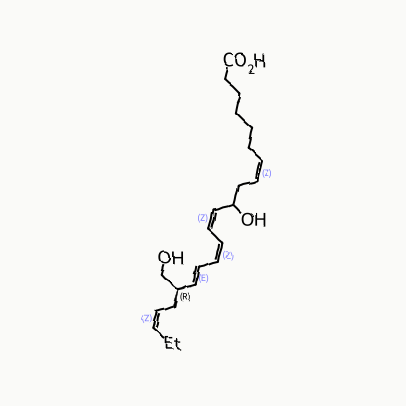 CC/C=C\C[C@H](/C=C/C=C\C=C/C(O)C/C=C\CCCCCC(=O)O)CO